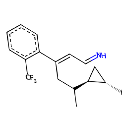 CC(C)[C@H]1C[C@@H]1C(C)C/C(=C\C=N)c1ccccc1C(F)(F)F